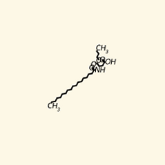 CCCCCCCCCCCCCCCCCC(=O)NC(CC(=O)O)C(=O)OCCCC